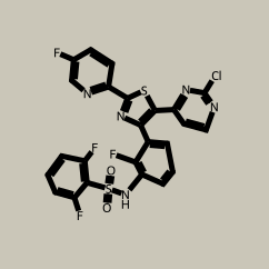 O=S(=O)(Nc1cccc(-c2nc(-c3ccc(F)cn3)sc2-c2ccnc(Cl)n2)c1F)c1c(F)cccc1F